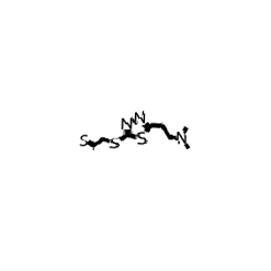 CN(C)CCc1nnc(SC[C]=S)s1